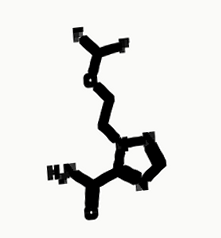 NC(=O)c1ncnn1CCOC(F)F